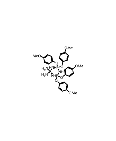 COc1ccc(O[PH]2(Oc3ccc(OC)cc3)N=P(N)(N)N[PH](Oc3ccc(OC)cc3)(Oc3ccc(OC)cc3)N2)cc1